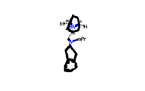 CCCN(C[C@@H]1C[C@H]2CC[C@@H](C1)N2)C1Cc2ccccc2C1